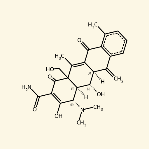 C=C1c2cccc(C)c2C(=O)C2=C(C)C3(CO)C(=O)C(C(N)=O)=C(O)[C@@H](N(C)C)[C@@H]3[C@@H](O)[C@H]12